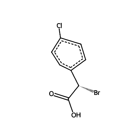 O=C(O)[C@@H](Br)c1ccc(Cl)cc1